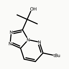 CC(C)(C)c1ccc2nnc(C(C)(C)O)n2n1